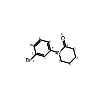 O=C1CCCCN1c1cccc(Br)c1